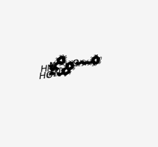 OCCN(Cc1ccc2cc(OCCCCCc3ccccc3)ccc2c1)Cc1c[nH]nc1-c1ccccc1